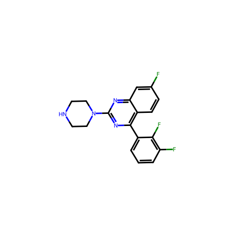 Fc1ccc2c(-c3cccc(F)c3F)nc(N3CCNCC3)nc2c1